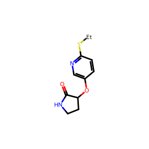 CCSc1ccc(OC2CCNC2=O)cn1